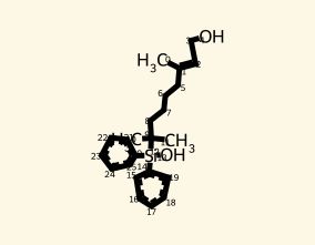 C/C(=C\CO)CCCCC(C)(C)[Si](O)(c1ccccc1)c1ccccc1